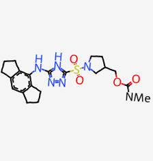 CNC(=O)OCC1CCN(S(=O)(=O)c2nnc(Nc3c4c(cc5c3CCC5)CCC4)[nH]2)C1